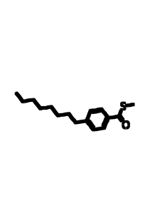 CCCCCCCCc1ccc(C(=O)SC)cc1